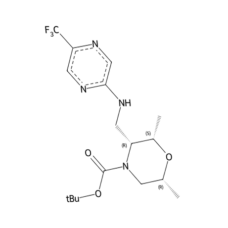 C[C@@H]1CN(C(=O)OC(C)(C)C)[C@H](CNc2cnc(C(F)(F)F)cn2)[C@H](C)O1